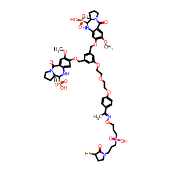 COc1cc2c(cc1OCc1cc(COc3cc4c(cc3OC)C(=O)N3CCC[C@H]3C(S(=O)(=O)O)N4)cc(OCCOCCOc3ccc(C(C)=NOCCCP(=O)(O)CCCN4CCC(S)C4=O)cc3)c1)NC(S(=O)(=O)O)[C@@H]1CCCN1C2=O